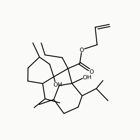 C=CCOC(=O)C(CCC)(C1(O)CC(C)CCC1C(C)C)C1(O)CC(C)CCC1C(C)C